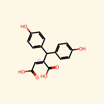 O=C(O)/C=C(\C(=O)O)C(c1ccc(O)cc1)c1ccc(O)cc1